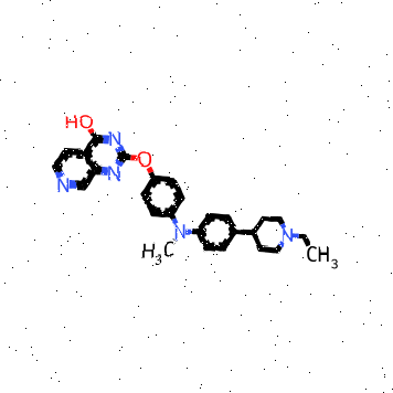 CCN1CCC(c2ccc(N(C)c3ccc(Oc4nc(O)c5ccncc5n4)cc3)cc2)CC1